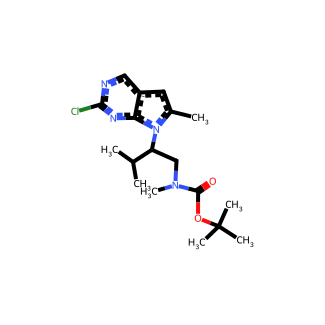 Cc1cc2cnc(Cl)nc2n1C(CN(C)C(=O)OC(C)(C)C)C(C)C